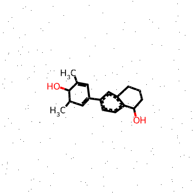 CC1=CC(c2ccc3c(c2)CCCC3O)=CC(C)C1O